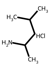 CC(C)CC(C)N.Cl